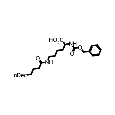 CCCCCCCCCCCCCC(=O)NCCCCC(NC(=O)OCc1ccccc1)C(=O)O